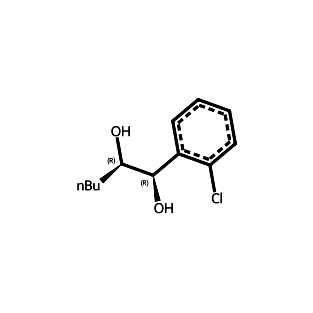 CCCC[C@@H](O)[C@H](O)c1ccccc1Cl